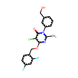 Cc1nc(OCc2ccc(F)cc2F)c(Cl)c(=O)n1-c1cccc(CO)c1